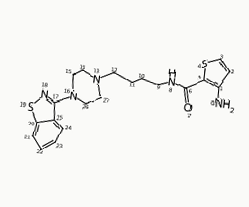 Nc1ccsc1C(=O)NCCCCN1CCN(c2nsc3ccccc23)CC1